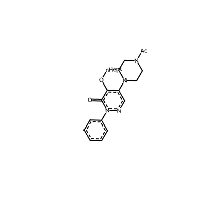 CCCCCCCOc1c(N2CCN(C(C)=O)CC2)cnn(-c2ccccc2)c1=O